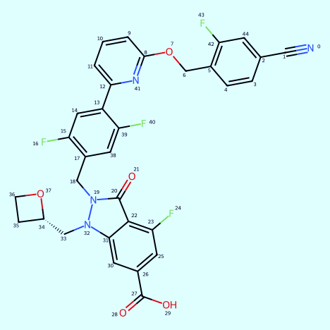 N#Cc1ccc(COc2cccc(-c3cc(F)c(Cn4c(=O)c5c(F)cc(C(=O)O)cc5n4C[C@@H]4CCO4)cc3F)n2)c(F)c1